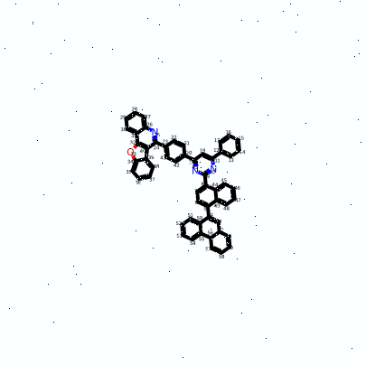 C1=CC2C=C(c3ccc(-c4nc(-c5ccccc5)cc(-c5ccc(-c6nc7ccccc7c7oc8ccccc8c67)cc5)n4)c4ccccc34)c3ccccc3C2C=C1